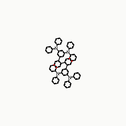 c1ccc(N(c2ccccc2)c2cc(-c3ccccc3-c3ccccc3-c3cc(N(c4ccccc4)c4ccccc4)cc(N(c4ccccc4)c4ccccc4)c3)cc(N(c3ccccc3)c3ccccc3)c2)cc1